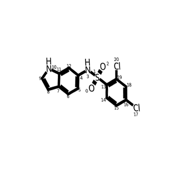 O=S(=O)(Nc1ccc2cc[nH]c2c1)c1ccc(Cl)cc1Cl